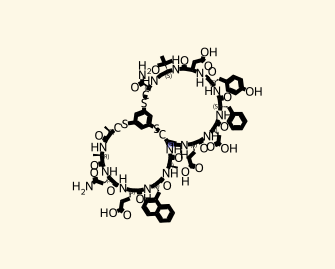 C[C@H]1CSc2cc3cc(c2)SC[C@@H](C(N)=O)NC(=O)[C@H](C(C)(C)C)NC(=O)C(CC(=O)O)NC(=O)[C@H](Cc2ccc(O)cc2)NC(=O)[C@H](Cc2ccccc2)NC(=O)[C@H](CC(=O)O)NC(=O)[C@H](CCC(=O)O)N/C=C(\CS3)NC(=O)[C@@H](C)NC(=O)[C@H](Cc2cccc3ccccc23)NC(=O)[C@H](CCC(=O)O)NC(=O)[C@H](CC(N)=O)NC(=O)[C@@H](C)NC1=O